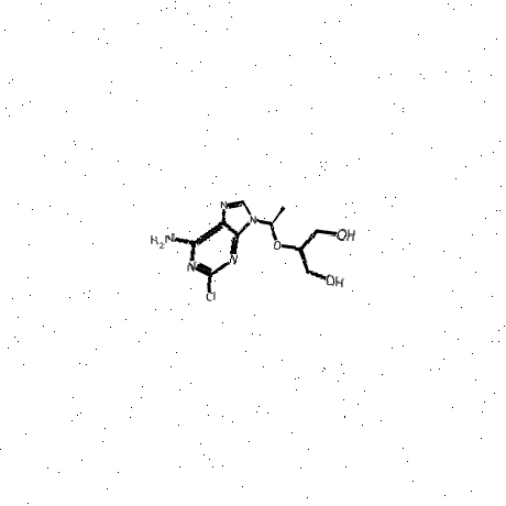 C[C@@H](OC(CO)CO)n1cnc2c(N)nc(Cl)nc21